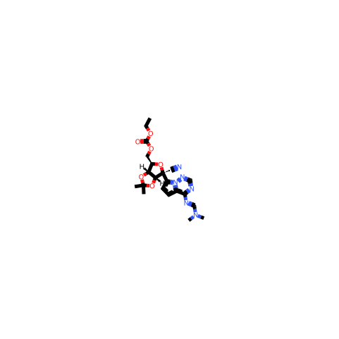 CCOC(=O)OC[C@H]1O[C@@](C#N)(c2ccc3c(N=CN(C)C)ncnn23)[C@@H]2OC(C)(C)O[C@@H]21